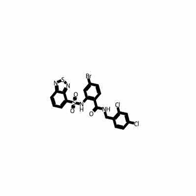 O=C(NCc1ccc(Cl)cc1Cl)c1ccc(Br)cc1NS(=O)(=O)c1cccc2nsnc12